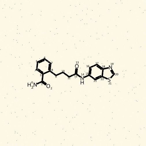 NC(=O)c1ccccc1CC[CH]C(=O)Nc1ccc2ncsc2c1